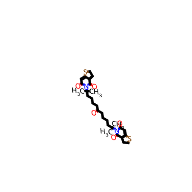 CC(C)(CCCCC(=O)CCCCC(C)(C)N1C(=O)C=C2SCCC2C1=O)N1C(=O)C=C2SCCC2C1=O